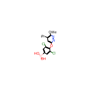 COc1nnc(Oc2c(Cl)cc(B(O)O)cc2Cl)cc1C(C)C